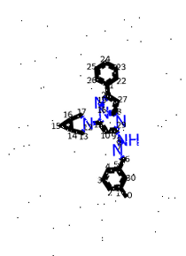 Cc1cccc(C=NNc2cc(N3CC4CC4C3)n3nc(-c4ccccc4)cc3n2)c1